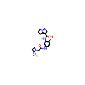 Cc1ccc(NC(=O)CN2CCC2C(F)(F)F)cc1NC(O)c1cnn2c1CCC2